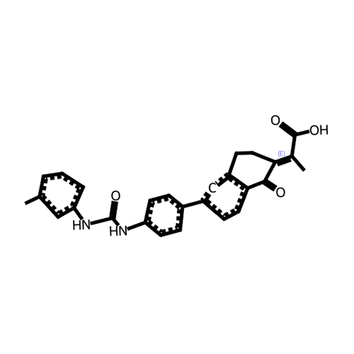 C/C(C(=O)O)=C1/CCc2cc(-c3ccc(NC(=O)Nc4cccc(C)c4)cc3)ccc2C1=O